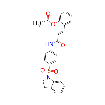 CC(=O)Oc1ccccc1/C=C/C(=O)Nc1ccc(S(=O)(=O)N2CCc3ccccc32)cc1